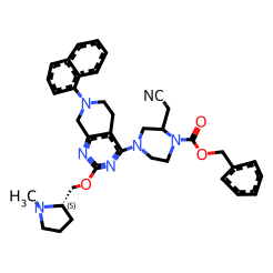 CN1CCC[C@H]1COc1nc2c(c(N3CCN(C(=O)OCc4ccccc4)C(CC#N)C3)n1)CCN(c1cccc3ccccc13)C2